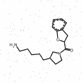 NCCCCCC1CCN(C(=O)C2Cc3ccccc3O2)C1